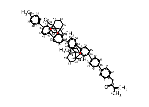 C=C(C)C(=O)Cc1ccc(-c2ccc(-c3ccc4c(c3)C3(c5cc(-c6ccc7c(c6)C6(c8cc(-c9ccc(C)cc9)ccc8-7)C7(CC)CCCC6(CC)CCC7)ccc5-4)C4(C)CCCC3(C)CCC4)cc2)cc1